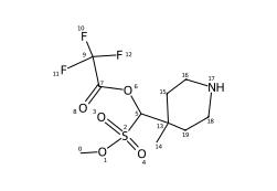 COS(=O)(=O)C(OC(=O)C(F)(F)F)C1(C)CCNCC1